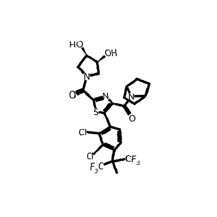 CC(c1ccc(-c2sc(C(=O)N3C[C@@H](O)[C@@H](O)C3)nc2C(=O)N2C3CCC2CC3)c(Cl)c1Cl)(C(F)(F)F)C(F)(F)F